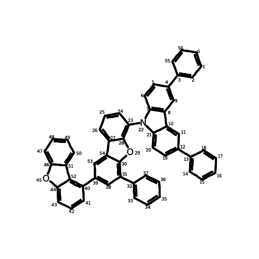 c1ccc(-c2ccc3c(c2)c2cc(-c4ccccc4)ccc2n3-c2cccc3c2oc2c(-c4ccccc4)cc(-c4cccc5oc6ccccc6c45)cc23)cc1